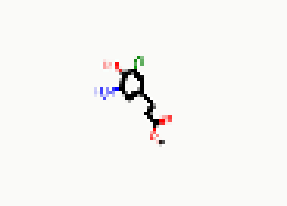 COC(=O)C=Cc1cc(N)c(O)c(Cl)c1